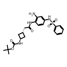 CC(C)(C)OC(=O)N[C@H]1C[C@H](CC(=O)Nc2ccc(NS(=O)(=O)c3ccccc3)cc2N)C1